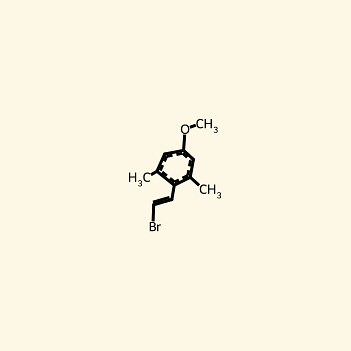 COc1cc(C)c(/C=C/Br)c(C)c1